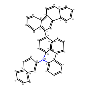 c1ccc(-c2ccccc2N(c2ccc(-c3cc4c5ccccc5ccc4c4ccccc34)cc2)c2ccc3ccccc3c2)cc1